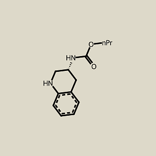 CCCOC(=O)N[C@H]1CNc2ccccc2C1